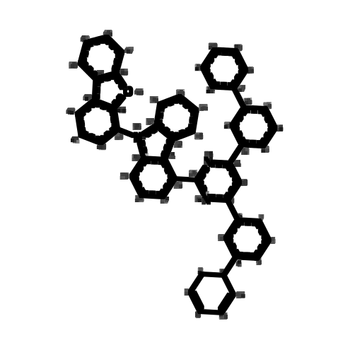 C1=CCC(c2cccc(-c3cc(-c4cccc(-c5ccccc5)c4)nc(-c4cccc5c4c4ccccc4n5-c4cccc5c4oc4ccccc45)n3)c2)C=C1